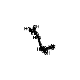 CCC(=C(c1ccc(O)cc1)c1ccc(OCCNC(=O)CCCCCCCCCC(=O)NC(C(=O)N2C[C@H](O)C[C@H]2C(=O)NCc2ccc(-c3scnc3C)cc2)C(C)(C)C)cc1)c1ccc(O)cc1